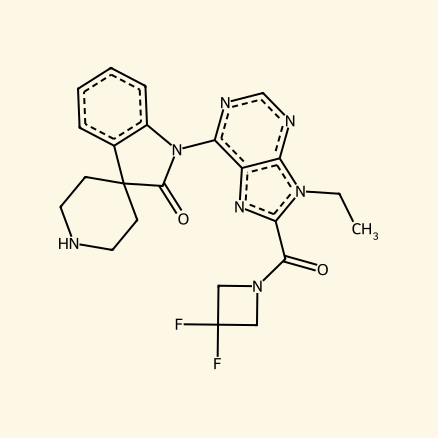 CCn1c(C(=O)N2CC(F)(F)C2)nc2c(N3C(=O)C4(CCNCC4)c4ccccc43)ncnc21